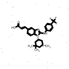 C[C@H]1C[C@@H](n2c(Nc3ccc(C(F)(F)F)cc3)nc3cc(/C=C/C(=O)O)ccc32)CC(C)(C)C1